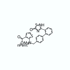 CCCCCN(Cc1ccc(-c2ccccc2-c2nc(=O)s[nH]2)cc1)c1sccc1C(=O)OC